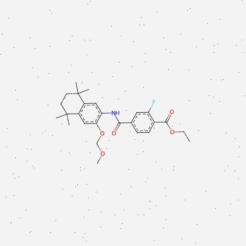 CCOC(=O)c1ccc(C(=O)Nc2cc3c(cc2OCOC)C(C)(C)CCC3(C)C)cc1F